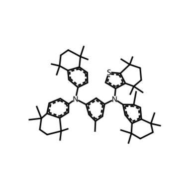 Cc1cc(N(c2ccc3c(c2)C(C)(C)CCC3(C)C)c2ccc3c(c2)C(C)(C)CCC3(C)C)cc(N(c2cc3c(cc2C)C(C)(C)CCC3(C)C)c2csc3c2C(C)(C)CCC3(C)C)c1